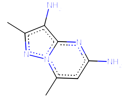 Cc1nn2c(C)cc(N)nc2c1N